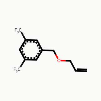 C=[C]COCc1cc(C(F)(F)F)cc(C(F)(F)F)c1